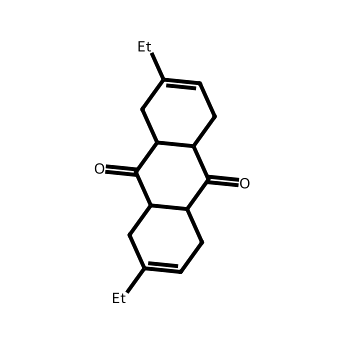 CCC1=CCC2C(=O)C3CC=C(CC)CC3C(=O)C2C1